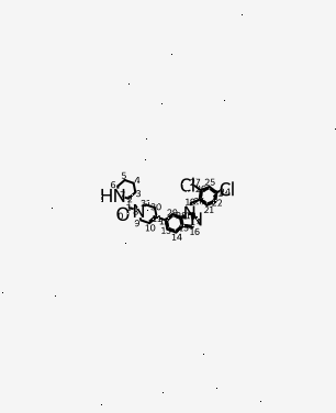 O=C([C@H]1CCCCN1)N1CC=C(c2ccc3cnn(Cc4ccc(Cl)cc4Cl)c3c2)CC1